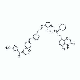 Cc1cc(C(=O)N2CCOC3(CCN(Cc4cccc(CCOC5CCN(CCN(CCc6ccc(O)c7c6OCC(=O)N7)C6CCCCC6)[C@@H]5C(=O)O)c4)CC3)C2)cs1